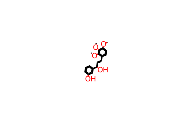 COc1ccc(CCC(O)c2cccc(O)c2)c(OC)c1OC